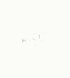 Oc1ccc2c(c1I)OCCO2